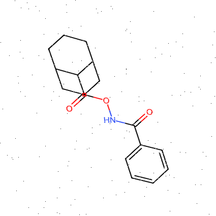 O=C(NOC(=O)C1C2CCCC1CCC2)c1ccccc1